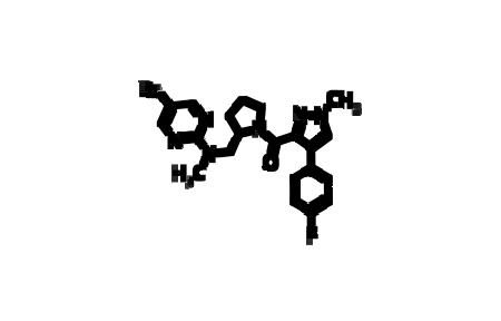 CN(CC1CCCN1C(=O)c1nn(C)cc1-c1ccc(F)cc1)c1ncc(Br)cn1